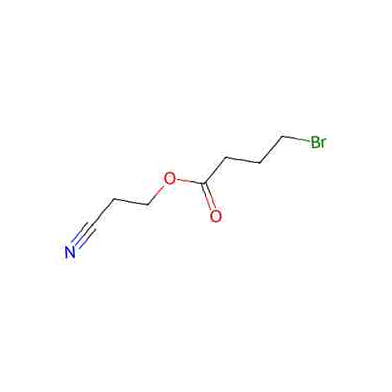 N#CCCOC(=O)CCCBr